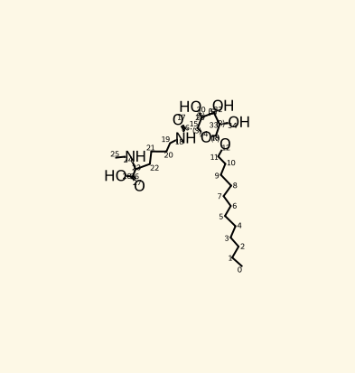 CCCCCCCCCCCCO[C@@H]1O[C@H](C(=O)NCCCCC(NC)C(=O)O)[C@@H](O)[C@H](O)[C@H]1O